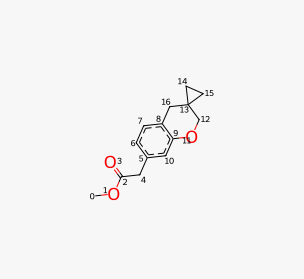 COC(=O)Cc1ccc2c(c1)OCC1(CC1)C2